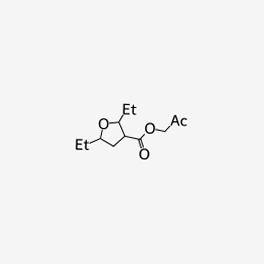 CCC1CC(C(=O)OCC(C)=O)C(CC)O1